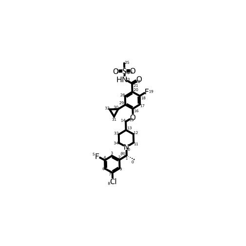 C[C@H](c1cc(F)cc(Cl)c1)N1CCC(COc2cc(F)c(C(=O)NS(C)(=O)=O)cc2C2CC2)CC1